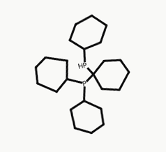 C1CCC(PC2(P(C3CCCCC3)C3CCCCC3)CCCCC2)CC1